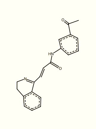 CC(=O)c1cccc(NC(=O)C=CC2=NCCc3ccccc32)c1